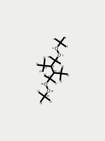 CC(C)(C)OOC(C)(C)C(C(C(C)(C)C)C(C)(C)OOC(C)(C)C)C(C)(C)C